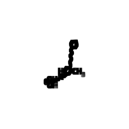 Cc1cc(CNCCCP(=O)(O)O)ccc1CCCCCCc1ccccc1